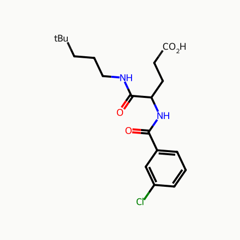 CC(C)(C)CCCNC(=O)C(CCC(=O)O)NC(=O)c1cccc(Cl)c1